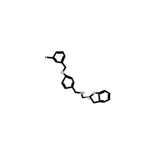 Fc1cccc(COc2ccc(CNC[C@@H]3Cc4ccccc4O3)cc2)c1